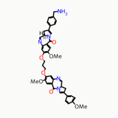 COc1ccc(C2=CN3C(=O)c4cc(OC)c(OCCCOc5cc6c(cc5OC)C(=O)N5C=C(c7ccc(CN)cc7)C[C@H]5C=N6)cc4N=CC3C2)cc1